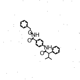 CC(C)C(C(=O)Nc1ccc(C(=O)NOCc2ccccc2)cc1)c1ccccc1